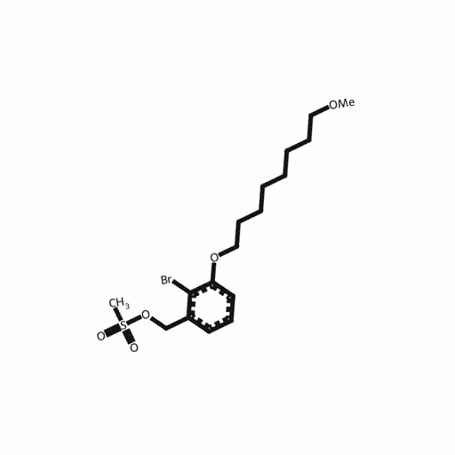 COCCCCCCCCOc1cccc(COS(C)(=O)=O)c1Br